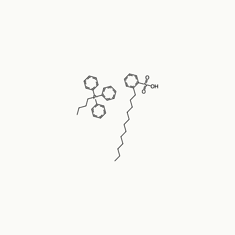 CCCCCCCCCCCCc1ccccc1S(=O)(=O)O.CCCC[P](c1ccccc1)(c1ccccc1)c1ccccc1